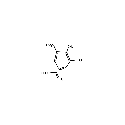 C=CC(=O)O.Cc1c(C(=O)O)cccc1C(=O)O